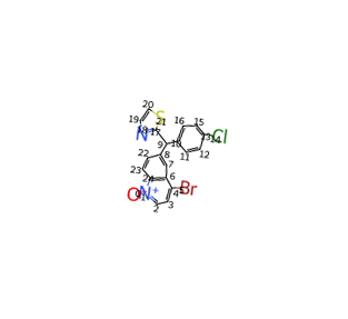 [O-][n+]1ccc(Br)c2cc(C(c3ccc(Cl)cc3)c3nccs3)ccc21